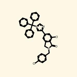 O=C1c2c(Cl)cc(-c3cn(C(c4ccccc4)(c4ccccc4)c4ccccc4)cn3)cc2CN1Cc1ccc(Cl)cc1